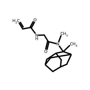 C=CC(=O)NCC(=O)N(C)C1(C)C2CC3CC(C2)CC1C3